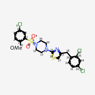 COc1ccc(Cl)cc1S(=O)(=O)N1CCN(c2nc(Cc3ccc(Cl)cc3Cl)cs2)CC1